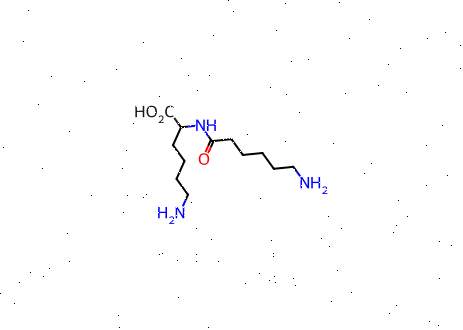 NCCCCCC(=O)NC(CCCCN)C(=O)O